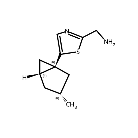 C[C@@H]1C[C@@H]2C[C@]2(c2cnc(CN)s2)C1